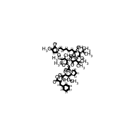 CC[C@H](C)[C@@H]([C@@H](CC(=O)N1CCC[C@H]1[C@H](OC)[C@@H](C)C(=O)NC(Cc1ccccc1)C(=O)O)OC)N(C)C(=O)[C@@H](NC(=O)[C@H](C(C)C)N(C)C(=O)CCCCCN1C(=O)CC(C)C1=O)C(C)C